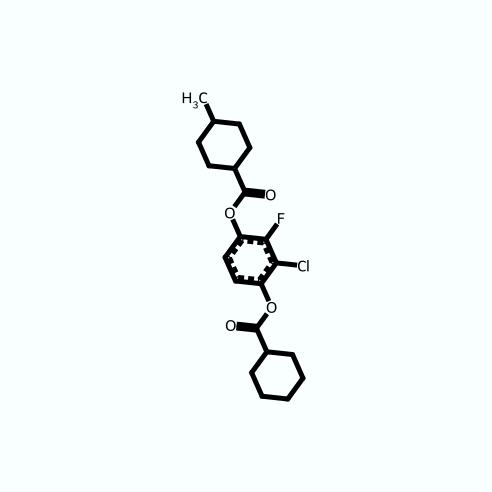 CC1CCC(C(=O)Oc2ccc(OC(=O)C3CCCCC3)c(Cl)c2F)CC1